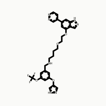 FC(F)(F)Oc1cc(CNCCCCOCCOc2cc(-c3ccnnc3)cc3[nH]ncc23)cc(Oc2cn[nH]c2)c1